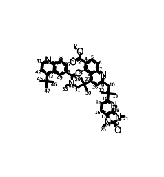 COC(=O)c1ccc2nc(CC(C)(C)c3ccc4c(n3)n(C)c(=O)n4C)cc(C(C)(C)CN(C)C(=O)c3ccc4nccc(C(C)(C)C)c4c3)c2c1